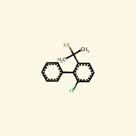 CC(C)(S)c1cccc(Cl)c1-c1ccccc1